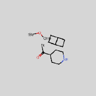 C1CC2CCC12.CC(C)(C)OC=O.CCC(=O)C1CCNCC1